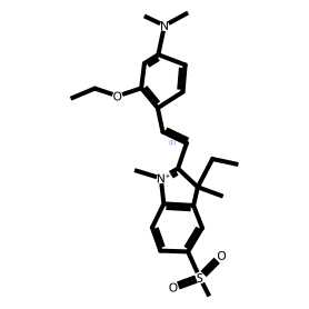 CCOc1cc(N(C)C)ccc1/C=C/C1=[N+](C)c2ccc(S(C)(=O)=O)cc2C1(C)CC